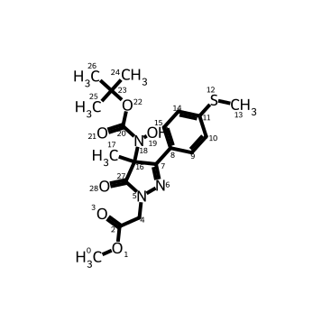 COC(=O)CN1N=C(c2ccc(SC)cc2)C(C)(N(O)C(=O)OC(C)(C)C)C1=O